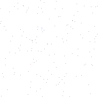 CCN1CCC(c2ccccc2)C(OC)C1